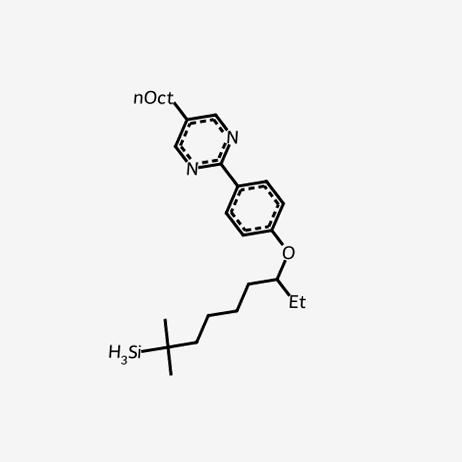 CCCCCCCCc1cnc(-c2ccc(OC(CC)CCCCC(C)(C)[SiH3])cc2)nc1